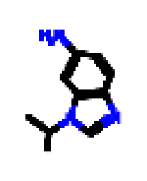 CC(C)n1cnc2ccc(N)cc21